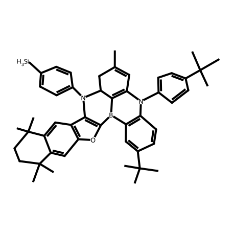 CC1=CC2=C3B(c4cc(C(C)(C)C)ccc4N2c2ccc(C(C)(C)C)cc2)c2oc4cc5c(cc4c2N(c2ccc([SiH3])cc2)C3C1)C(C)(C)CCC5(C)C